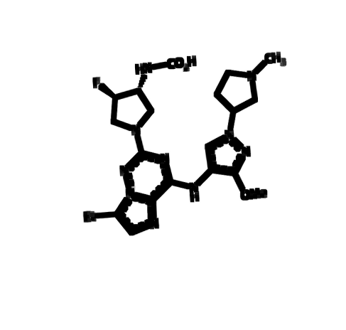 CCc1cnc2c(Nc3cn(C4CCN(C)C4)nc3OC)nc(N3C[C@@H](F)[C@H](NC(=O)O)C3)nn12